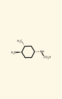 C[C@@H]1C[C@H](NC(=O)O)CC[C@H]1N